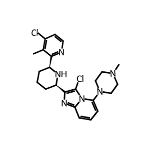 Cc1c(Cl)ccnc1[C@@H]1CCC[C@H](c2nc3cccc(N4CCN(C)CC4)n3c2Cl)N1